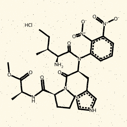 CC[C@H](C)[C@H](N)C(=O)N(c1cccc([N+](=O)[O-])c1[N+](=O)[O-])[C@@H](Cc1c[nH]cn1)C(=O)N1CCC[C@H]1C(=O)N[C@@H](C)C(=O)OC.Cl